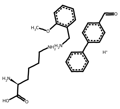 COc1ccccc1CN.NCCCC[C@H](N)C(=O)O.O=Cc1ccc(-c2ccccc2)cc1.[H+]